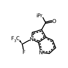 CC(C)C(=O)c1cn([C@@H](F)C(F)(F)F)c2ncccc12